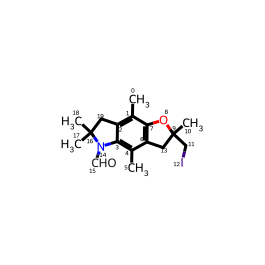 Cc1c2c(c(C)c3c1OC(C)(CI)C3)N(C=O)C(C)(C)C2